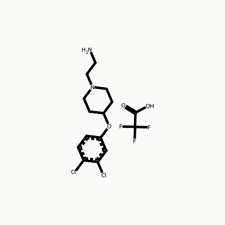 NCCN1CCC(Oc2ccc(Cl)c(Cl)c2)CC1.O=C(O)C(F)(F)F